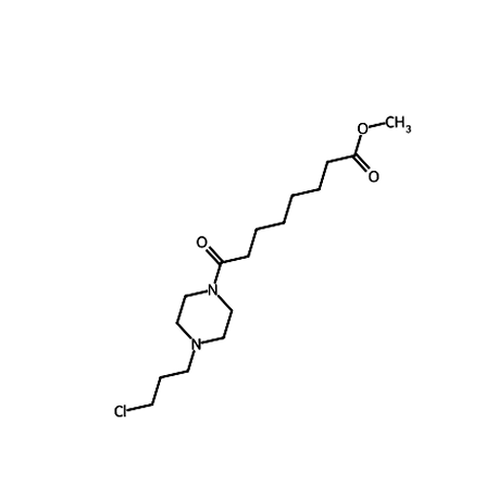 COC(=O)CCCCCCC(=O)N1CCN(CCCCl)CC1